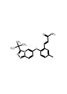 CC(C)(C)c1nnc2ccc(Sc3ccc(F)cc3/C=C/C(N)=O)cn12